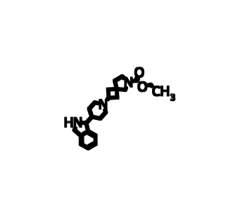 CCOC(=O)N1CCC2(CC(N3CCC(C4NCc5ccccc54)CC3)C2)C1